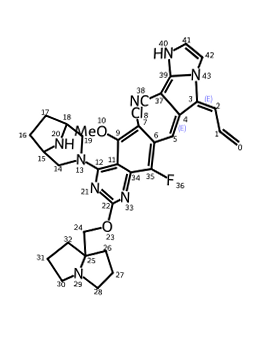 C=C/C=c1\c(=C\c2c(Cl)c(OC)c3c(N4CC5CCC(C4)N5)nc(OCC45CCCN4CCC5)nc3c2F)c(C#N)c2[nH]ccn12